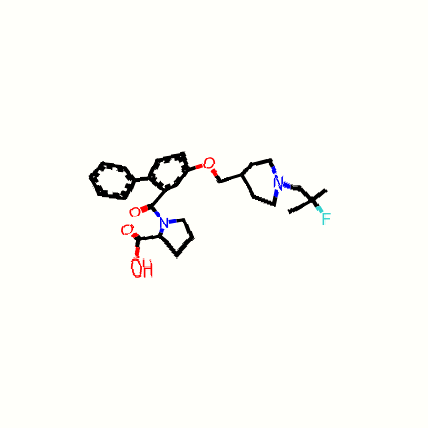 CC(C)(F)CN1CCC(COc2ccc(-c3ccccc3)c(C(=O)N3CCCC3C(=O)O)c2)CC1